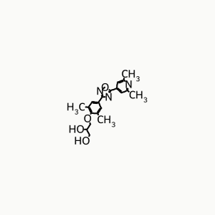 Cc1cc(-c2nc(-c3cc(C)c(OCC(O)CO)c(C)c3)no2)cc(C)n1